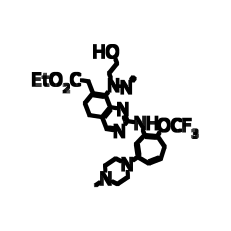 C=NN(CCO)C1=C(CC(=O)OCC)CCc2cnc(NC3=C(OC(F)(F)F)CC=CC(N4CCN(C)CC4)=C3)nc21